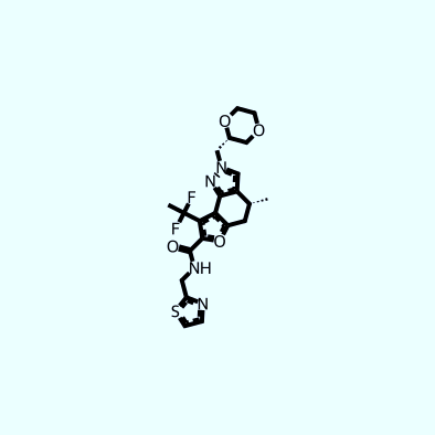 C[C@@H]1Cc2oc(C(=O)NCc3nccs3)c(C(C)(F)F)c2-c2nn(C[C@H]3COCCO3)cc21